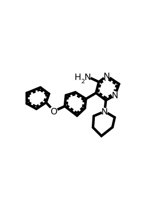 Nc1ncnc(N2CCCCC2)c1-c1ccc(Oc2ccccc2)cc1